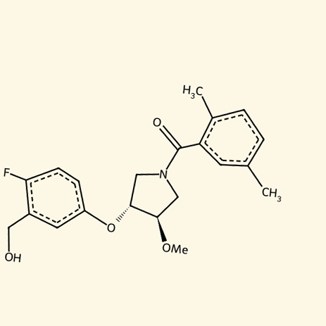 CO[C@@H]1CN(C(=O)c2cc(C)ccc2C)C[C@H]1Oc1ccc(F)c(CO)c1